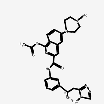 CC(=O)N1CCN(c2ccc3c(OC(=O)C(F)(F)F)nc(C(=O)Nc4cccc([C@H](C)Cc5nncn5C)c4)cc3c2)CC1